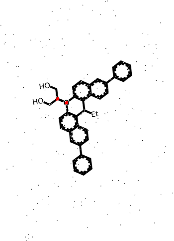 CCC(c1c(OCCO)ccc2cc(-c3ccccc3)ccc12)c1c(OCCO)ccc2cc(-c3ccccc3)ccc12